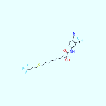 C[C@](O)(CCCCCCCCSCCCC(F)(F)F)C(=O)Nc1ccc(C#N)c(C(F)(F)F)c1